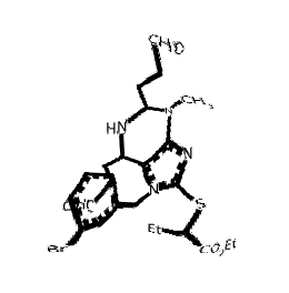 CCOC(=O)C(CC)Sc1nc2c(n1Cc1cccc(Br)c1)C(CCC=O)NC(CCC=O)N2C